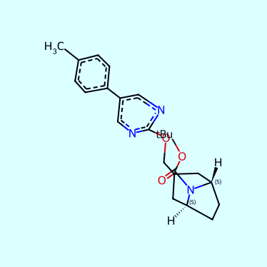 Cc1ccc(-c2cnc(OCC3C[C@@H]4CC[C@@H](C3)N4C(=O)OC(C)(C)C)nc2)cc1